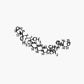 CC(C)(CCCC(=O)N1CCOCC1)c1ccc2cc3ccc(C(C)(C)CCCC(=O)N4CCOCC4)cc3cc2c1